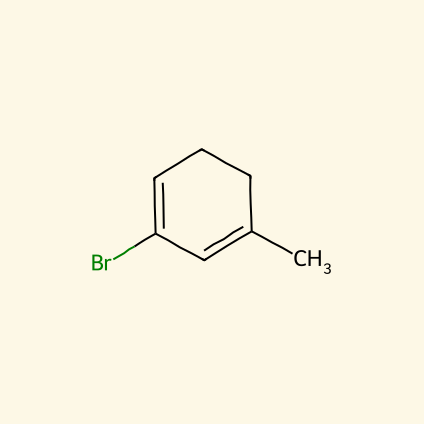 CC1=CC(Br)=CCC1